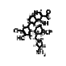 CC(=O)c1cnc2ccc(-c3cc(Cl)c(O)c(Cl)c3)cc2c1NC1CCC(CN2CCC(N)C2)CC1.Cl